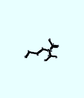 C=C(C)N(CCCC)C(C)C